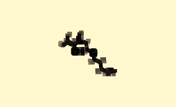 CC(C)=C(O)N(C)CCOCCCC(C)C